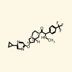 CNC(C(=O)N1CCN2C[C@H](Oc3cnc(C4CC4)cn3)C[C@H]2C1)c1ccc(C(F)(F)F)cc1